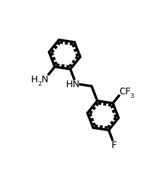 Nc1ccccc1NCc1ccc(F)cc1C(F)(F)F